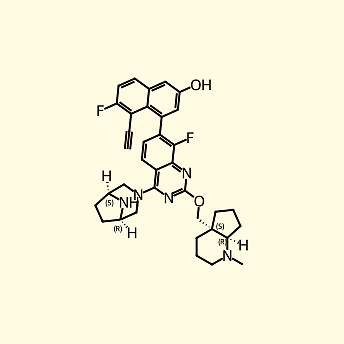 C#Cc1c(F)ccc2cc(O)cc(-c3ccc4c(N5C[C@H]6CC[C@@H](C5)N6)nc(OC[C@]56CCC[C@H]5N(C)CCC6)nc4c3F)c12